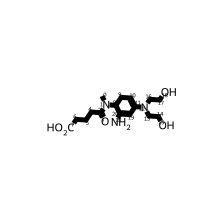 CN(C(=O)CCCC(=O)O)C1CC=C(N(CCO)CCO)C=C1N